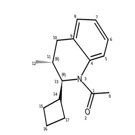 CC(=O)N1c2ccccc2C[C@@H](C)[C@@H]1C1CCC1